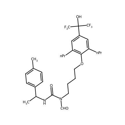 CCCc1cc(C(O)(C(F)(F)F)C(F)(F)F)cc(CCC)c1OCCCCN(C=O)C(=O)NC(C)c1ccc(C)cc1